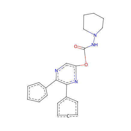 O=C(NN1CCCCC1)Oc1cnc(-c2ccccc2)c(-c2ccccc2)n1